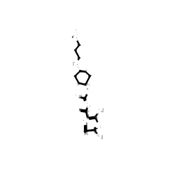 CN(C)CCCN[C@H]1CC[C@H](N/C(N)=N/C(=O)c2nc(Cl)c(N)nc2N)CC1